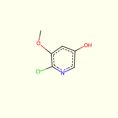 COc1cc(O)cnc1Cl